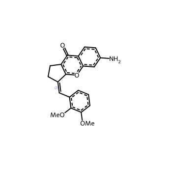 COc1cccc(/C=C2/CCc3c2oc2cc(N)ccc2c3=O)c1OC